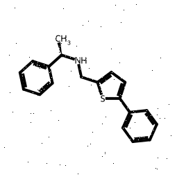 C[C@@H](NCc1ccc(-c2ccccc2)s1)c1ccccc1